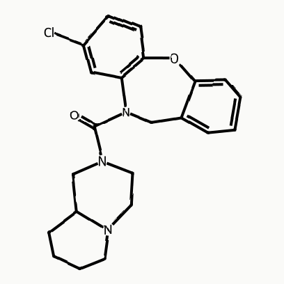 O=C(N1CCN2CCCCC2C1)N1Cc2ccccc2Oc2ccc(Cl)cc21